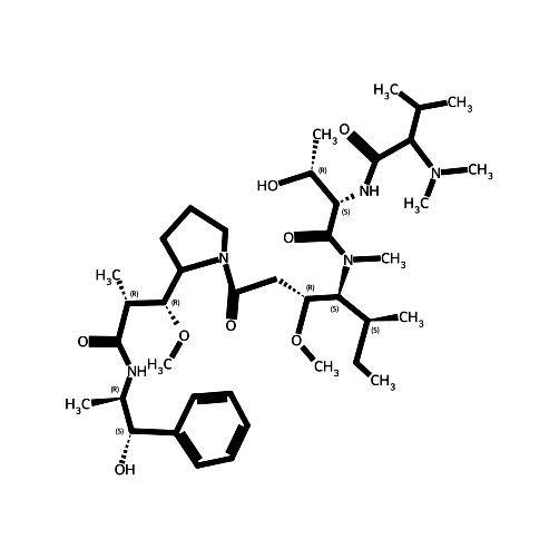 CC[C@H](C)[C@@H]([C@@H](CC(=O)N1CCCC1[C@H](OC)[C@@H](C)C(=O)N[C@H](C)[C@@H](O)c1ccccc1)OC)N(C)C(=O)[C@@H](NC(=O)C(C(C)C)N(C)C)[C@@H](C)O